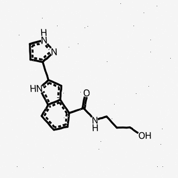 O=C(NCCCO)c1cccc2[nH]c(-c3cc[nH]n3)cc12